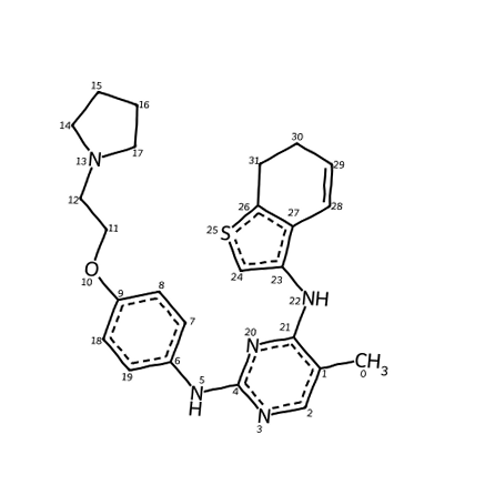 Cc1cnc(Nc2ccc(OCCN3CCCC3)cc2)nc1Nc1csc2c1C=CCC2